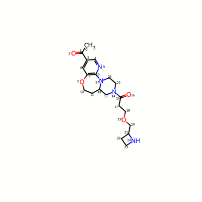 CC(=O)c1cnc2c(c1)OCCC1CN(C(=O)CCOCC3CCN3)CCN21